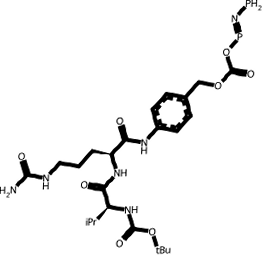 CC(C)[C@H](NC(=O)OC(C)(C)C)C(=O)N[C@@H](CCCNC(N)=O)C(=O)Nc1ccc(COC(=O)O/P=N/P)cc1